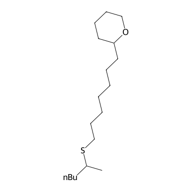 CCCCC(C)SCCCCCCCC1CCCCO1